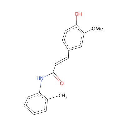 COc1cc(/C=C/C(=O)Nc2ccccc2C)ccc1O